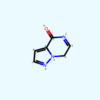 O=C1N=CCn2nccc21